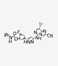 CC(C)NC(=O)O[C@H]1C[C@@H](c2cc(Nc3ncc(C4CC4)c4nc(C#N)cn34)n[nH]2)C[C@H]1F